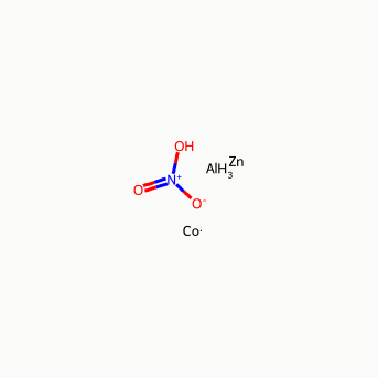 O=[N+]([O-])O.[AlH3].[Co].[Zn]